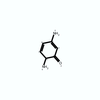 NC1=CC(=O)C(N)C=C1